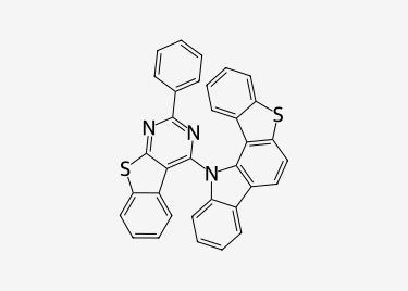 c1ccc(-c2nc(-n3c4ccccc4c4ccc5sc6ccccc6c5c43)c3c(n2)sc2ccccc23)cc1